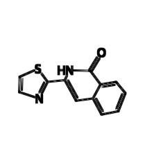 O=c1[nH]c(-c2nccs2)cc2ccccc12